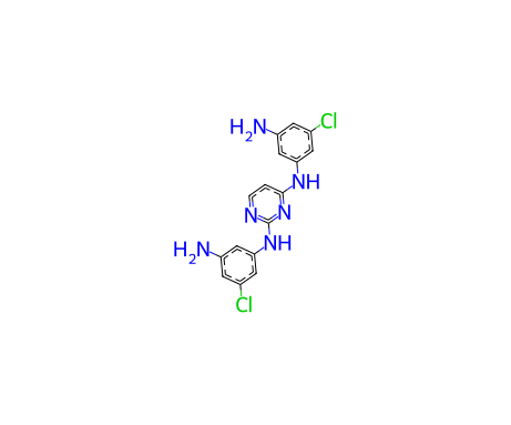 Nc1cc(Cl)cc(Nc2ccnc(Nc3cc(N)cc(Cl)c3)n2)c1